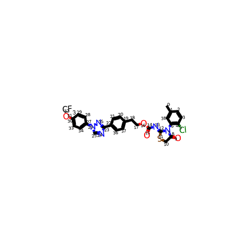 Cc1ccc(Cl)c(N2C(=O)CS/C2=N\C(=O)OCCc2ccc(-c3ncn(-c4ccc(OC(F)(F)F)cc4)n3)cc2)c1